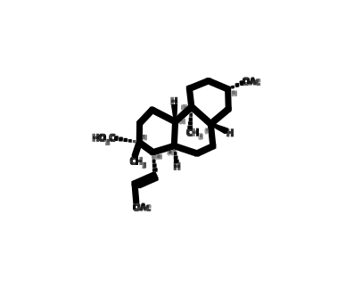 CC(=O)OC=C[C@H]1[C@@H]2CC[C@H]3C[C@@H](OC(C)=O)CC[C@]3(C)[C@H]2CC[C@@]1(C)C(=O)O